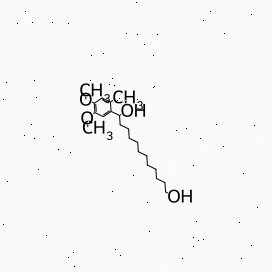 COc1cc(C)c(C(O)CCCCCCCCCCCO)cc1OC